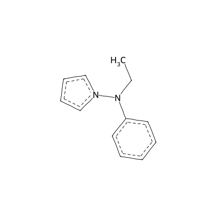 CCN(c1ccccc1)n1cccc1